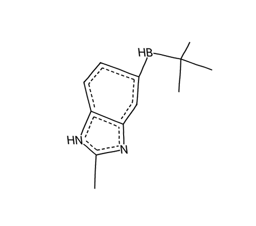 Cc1nc2cc(BC(C)(C)C)ccc2[nH]1